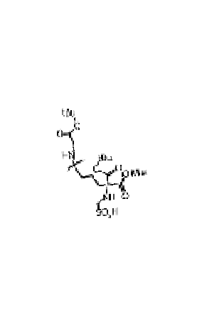 COC(=O)[C@](CCCC(C)(C)NCC(=O)OC(C)(C)C)(NCS(=O)(=O)O)C(=O)OC(C)(C)C